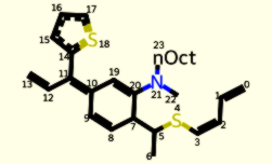 C=C/C=C\SC(C)C1C=C/C(=C(\C=C)c2cccs2)C=C1N(C)CCCCCCCC